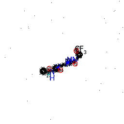 O=C(NCc1cccc(OC(F)(F)F)c1)c1cn(CCCCn2ccc(NC(=O)C(F)c3ccccc3)cc2=O)nn1